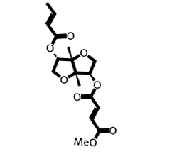 C/C=C/C(=O)O[C@H]1CO[C@@]2(C)[C@H](OC(=O)/C=C/C(=O)OC)CO[C@@]12C